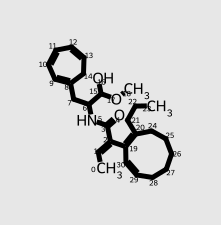 C\C=C(C(=O)NC(CC1=CC=CC=CC1)C(O)OC)/C1=C(\CCC)CCCCC/C=C\1